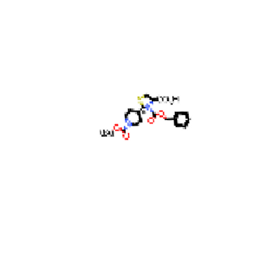 CC(C)(C)OC(=O)N1CCC([C@H]2SCC(C(=O)O)N2C(=O)OCc2ccccc2)CC1